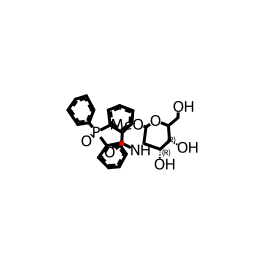 COC1OC(CO)[C@H](O)[C@H](O)C1NC(=O)c1ccccc1P(=O)(c1ccccc1)c1ccccc1